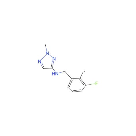 [CH2]c1c(F)cccc1CNc1cnn(C)n1